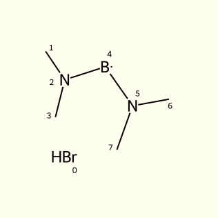 Br.CN(C)[B]N(C)C